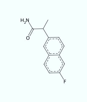 CC(C(N)=O)c1ccc2cc(F)ccc2c1